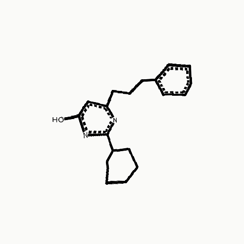 Oc1cc(CCCc2ccccc2)nc(C2CCCCC2)n1